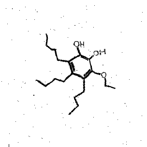 CCCCc1c(O)c(O)c(OCC)c(CCCC)c1CCCC